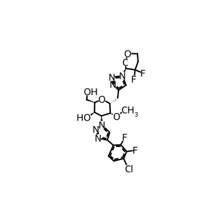 CO[C@@H]1[C@@H](n2cc(-c3ccc(Cl)c(F)c3F)nn2)[C@@H](O)[C@@H](CO)O[C@@H]1Cc1cn([C@H]2COCCC2(F)F)nn1